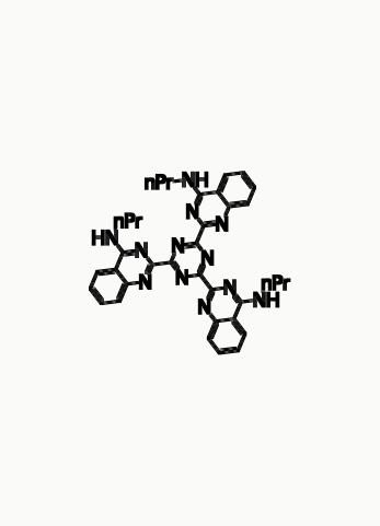 CCCNc1nc(-c2nc(-c3nc(NCCC)c4ccccc4n3)nc(-c3nc(NCCC)c4ccccc4n3)n2)nc2ccccc12